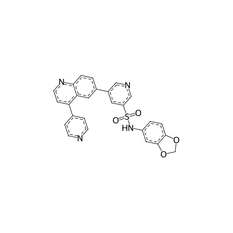 O=S(=O)(Nc1ccc2c(c1)OCO2)c1cncc(-c2ccc3nccc(-c4ccncc4)c3c2)c1